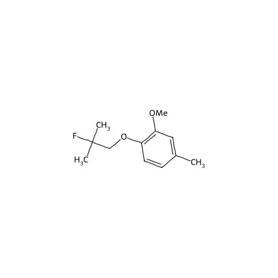 COc1cc(C)ccc1OCC(C)(C)F